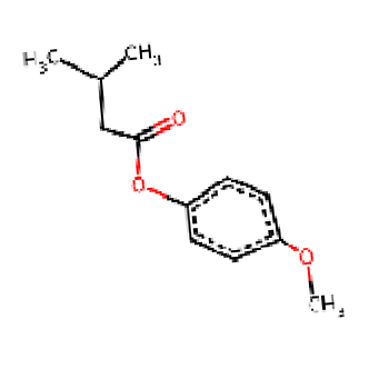 COc1ccc(OC(=O)CC(C)C)cc1